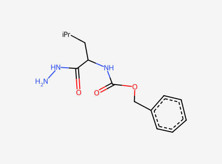 CC(C)CC(NC(=O)OCc1ccccc1)C(=O)NN